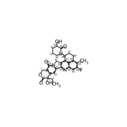 CC[C@@]1(O)C(=O)OCc2c1cc1n(c2=O)Cc2c-1nc1cc(F)c(C)c3c1c2[C@@H](N1CCCC(O)C1=O)CC3